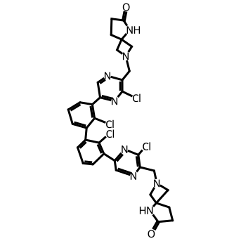 O=C1CCC2(CN(Cc3ncc(-c4cccc(-c5cccc(-c6cnc(CN7CC8(CCC(=O)N8)C7)c(Cl)n6)c5Cl)c4Cl)nc3Cl)C2)N1